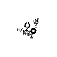 CN(C)C(N1CCOCC1)=[N+]1N=[N+]([O-])c2ccc(Cl)cc21.F[P-](F)(F)(F)(F)F